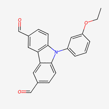 CCOc1cccc(-n2c3ccc(C=O)cc3c3cc(C=O)ccc32)c1